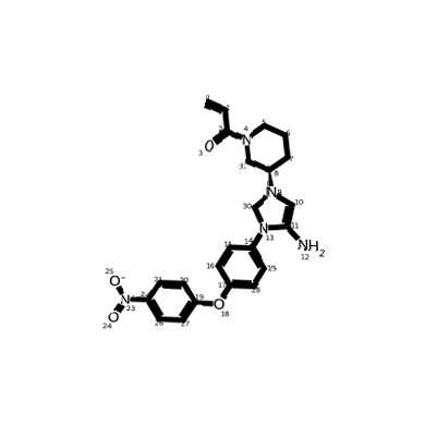 C=CC(=O)N1CCC[C@@H](N2C=C(N)N(c3ccc(Oc4ccc([N+](=O)[O-])cc4)cc3)C2)C1